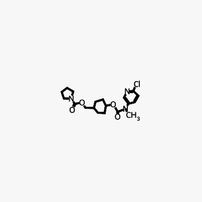 CN(C(=O)OC1CCC(COC(=O)N2CCCC2)CC1)c1ccc(Cl)nc1